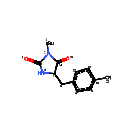 CCCCN1C(=O)NC(Cc2ccc(C#N)cc2)C1=O